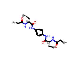 CC(C)CC(=O)N[C@@H](CC(C)C)C(=O)Nc1ccc(NC(=O)[C@H](CC(C)C)NC(=O)CC(C)C)cc1